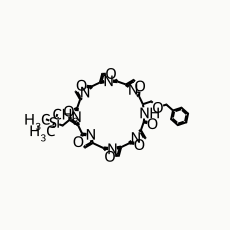 C[Si](C)(C)Cc1oc2nc1-c1nc(co1)-c1nc(co1)-c1nc(co1)C(=O)NC(COCc1ccccc1)c1nc(co1)-c1nc(co1)-c1nc-2co1